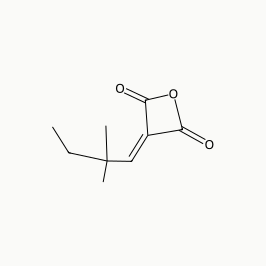 CCC(C)(C)C=C1C(=O)OC1=O